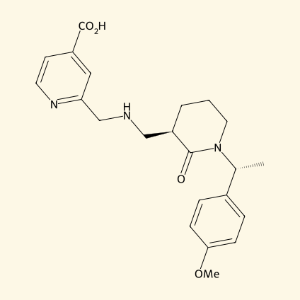 COc1ccc([C@@H](C)N2CCC[C@H](CNCc3cc(C(=O)O)ccn3)C2=O)cc1